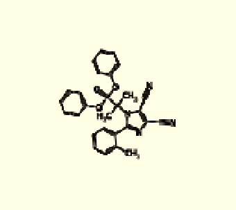 Cc1ccccc1-c1nc(C#N)c(C#N)n1C(C)(C)P(=O)(Oc1ccccc1)Oc1ccccc1